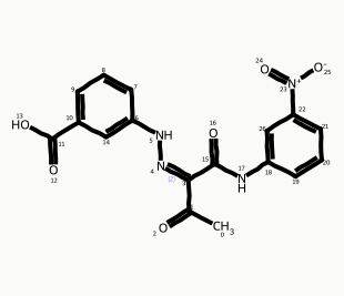 CC(=O)/C(=N/Nc1cccc(C(=O)O)c1)C(=O)Nc1cccc([N+](=O)[O-])c1